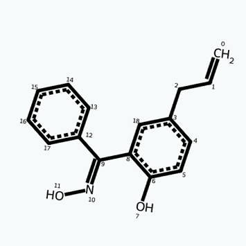 C=CCc1ccc(O)c(C(=NO)c2ccccc2)c1